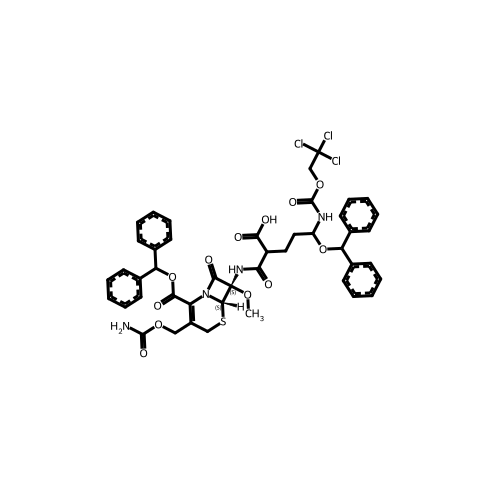 CO[C@@]1(NC(=O)C(CCC(NC(=O)OCC(Cl)(Cl)Cl)OC(c2ccccc2)c2ccccc2)C(=O)O)C(=O)N2C(C(=O)OC(c3ccccc3)c3ccccc3)=C(COC(N)=O)CS[C@H]21